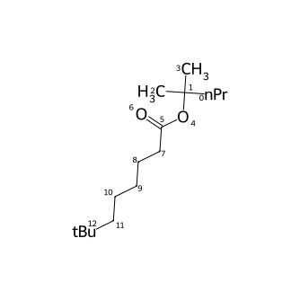 CCCC(C)(C)OC(=O)CCCCCC(C)(C)C